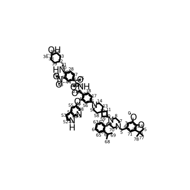 COc1cc(CN2CCN(C3CC4(CCN(c5ccc(C(=O)NS(=O)(=O)c6ccc(NC[C@H]7CC[C@](C)(O)CC7)c([N+](=O)[O-])c6)c(Oc6cnc7[nH]ccc7c6)c5)CC4)C3)[C@H](c3ccccc3C(C)C)C2)cc2c1OCC2(C)C